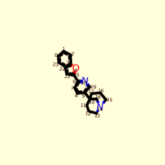 c1ccc2oc(-c3ccc(C45CCCN(CCC4)C5)cn3)cc2c1